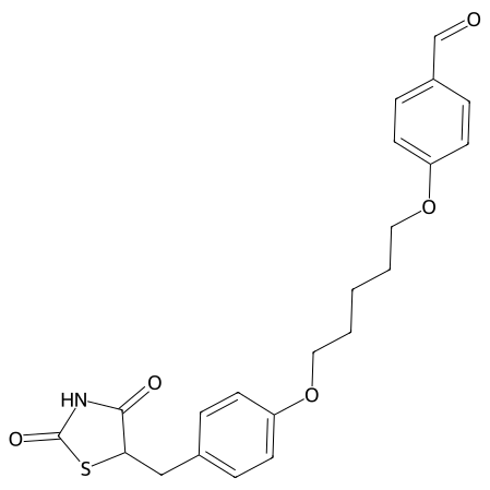 O=Cc1ccc(OCCCCCOc2ccc(CC3SC(=O)NC3=O)cc2)cc1